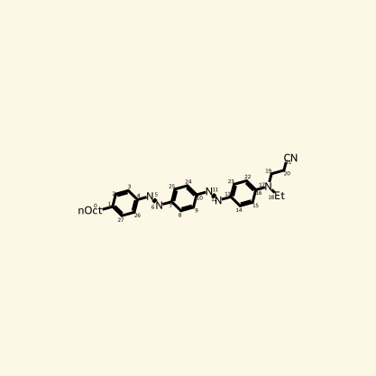 CCCCCCCCc1ccc(N=Nc2ccc(N=Nc3ccc(N(CC)CCC#N)cc3)cc2)cc1